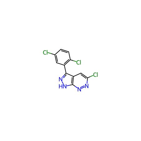 Clc1ccc(Cl)c(-c2n[nH]c3nnc(Cl)cc23)c1